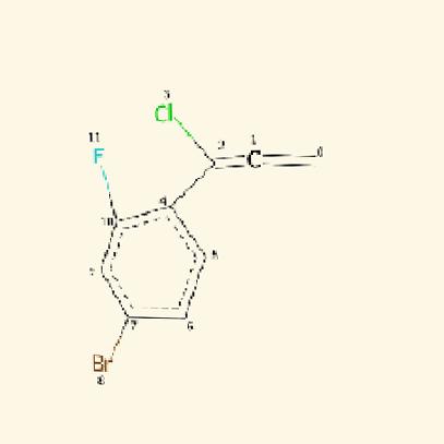 C=C=C(Cl)c1ccc(Br)cc1F